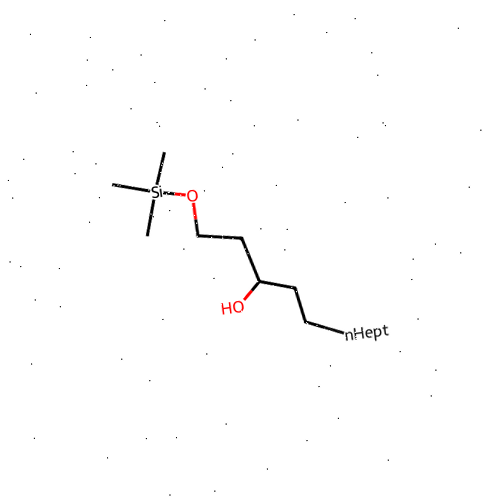 CCCCCCCCCC(O)CCO[Si](C)(C)C